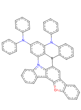 c1ccc(N(c2ccccc2)c2cc3c4c(c2)-n2c5ccccc5c5c6oc7ccccc7c6cc(c52)B4c2ccccc2N3c2ccccc2)cc1